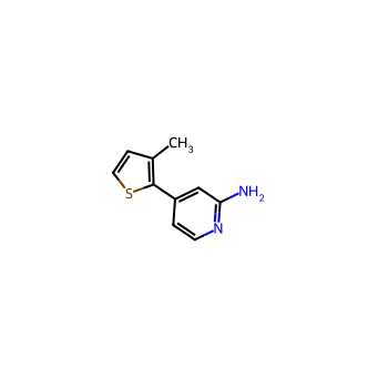 Cc1ccsc1-c1ccnc(N)c1